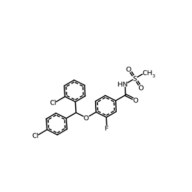 CS(=O)(=O)NC(=O)c1ccc(OC(c2ccc(Cl)cc2)c2ccccc2Cl)c(F)c1